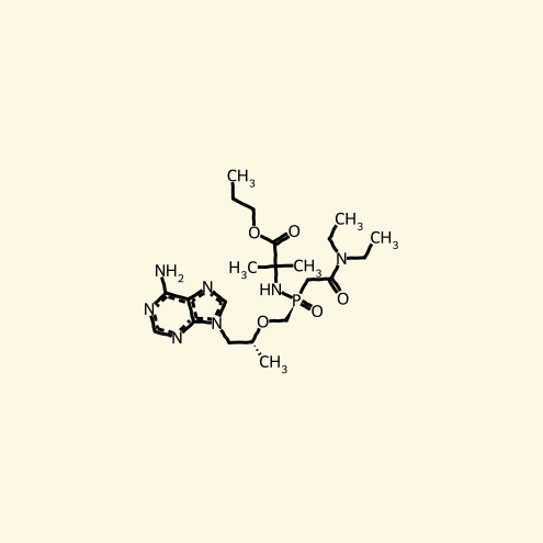 CCCOC(=O)C(C)(C)N[P@](=O)(CO[C@H](C)Cn1cnc2c(N)ncnc21)CC(=O)N(CC)CC